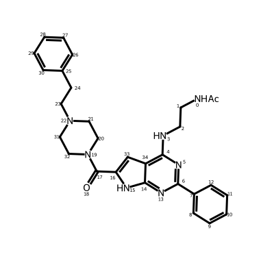 CC(=O)NCCNc1nc(-c2ccccc2)nc2[nH]c(C(=O)N3CCN(CCc4ccccc4)CC3)cc12